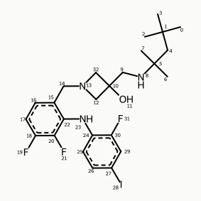 CC(C)(C)CC(C)(C)NCC1(O)CN(Cc2ccc(F)c(F)c2Nc2ccc(I)cc2F)C1